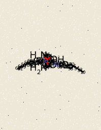 CCCCCCCC1CCC(COc2ccc(/C=C/C(=O)C(O)C(Cc3ccc(N)cc3)(Cc3ccc(N)cc3)C(O)C(=O)/C=C/c3ccc(OCC4CCC(CCCCCCC)CC4)cc3)cc2)CC1